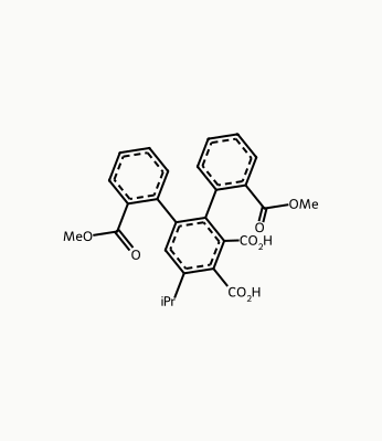 COC(=O)c1ccccc1-c1cc(C(C)C)c(C(=O)O)c(C(=O)O)c1-c1ccccc1C(=O)OC